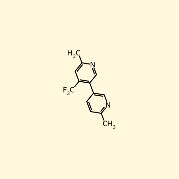 Cc1ccc(-c2cnc(C)cc2C(F)(F)F)cn1